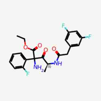 CCOC(=O)C(N)(C(=O)[C@H](C)NC(=O)Cc1cc(F)cc(F)c1)c1ccccc1F